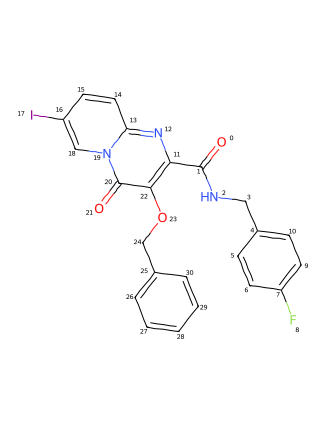 O=C(NCc1ccc(F)cc1)c1nc2ccc(I)cn2c(=O)c1OCc1ccccc1